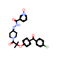 CC(C)(Oc1ccc(C(=O)c2ccc(Cl)cc2)cc1)C(=O)N1CCC(=NNC(=O)c2ccc[n+]([O-])c2)CC1